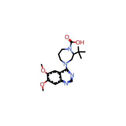 COc1cc2ncnc(N3CCCN(C(=O)O)C(C(C)(C)C)C3)c2cc1OC